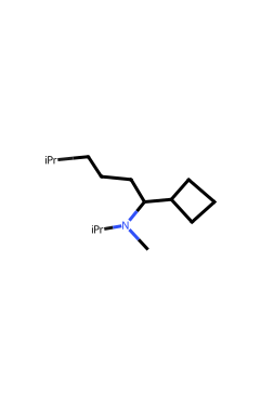 CC(C)CCCC(C1CCC1)N(C)C(C)C